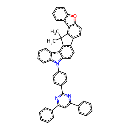 CC1(C)c2c(ccc3oc4ccccc4c23)-c2ccc3c(c21)c1ccccc1n3-c1ccc(-c2nc(-c3ccccc3)cc(-c3ccccc3)n2)cc1